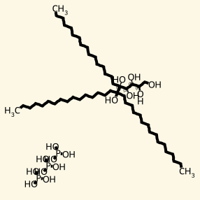 CCCCCCCCCCCCCCCCC(O)(CCCCCCCCCCCCCCCC)[C@@](O)(CCCCCCCCCCCCCCCC)[C@@H](O)[C@H](O)[C@H](O)CO.OP(O)O.OP(O)O.OP(O)O